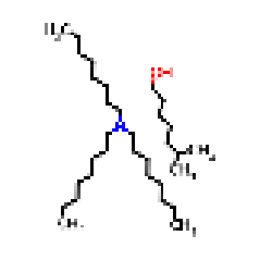 CC(C)CCCCCO.CCCCCCCCN(CCCCCCCC)CCCCCCCC